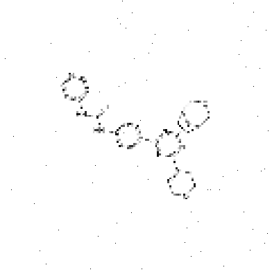 O=C(Nc1ccncc1)Nc1ccc(-c2nc(C3=CCOCC3)nc(N3C4CCC3COC4)n2)cc1